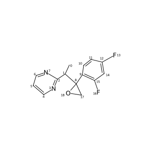 CC(c1ncccn1)C1(c2ccc(F)cc2F)CO1